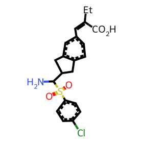 CCC(=Cc1ccc2c(c1)CC(C(N)S(=O)(=O)c1ccc(Cl)cc1)C2)C(=O)O